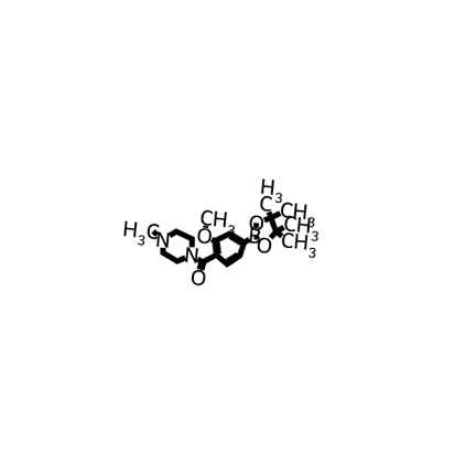 COc1cc(B2OC(C)(C)C(C)(C)O2)ccc1C(=O)N1CCN(C)CC1